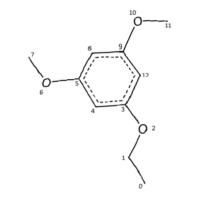 CCOc1cc(OC)cc(OC)c1